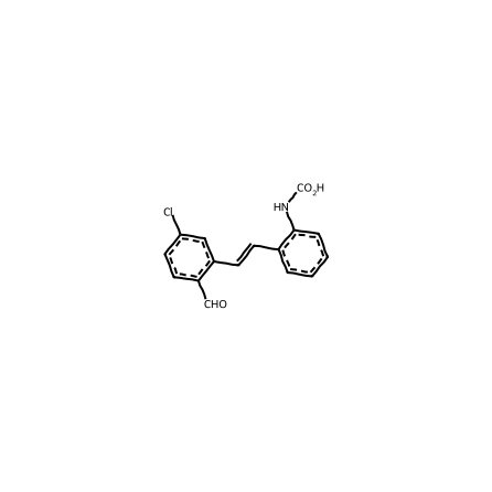 O=Cc1ccc(Cl)cc1C=Cc1ccccc1NC(=O)O